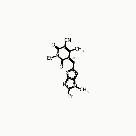 CCN1C(=O)C(C#N)=C(C)/C(=C/c2cc3c(nc(C(C)C)n3C)s2)C1=O